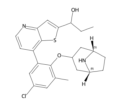 CCC(O)c1cc2nccc(-c3cc(Cl)cc(C)c3OC3C[C@H]4CC[C@@H](C3)N4)c2s1